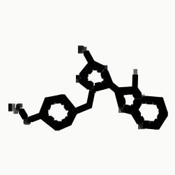 COc1ccc(Cn2nc(Br)nc2-c2nc3ncccn3c2I)cc1